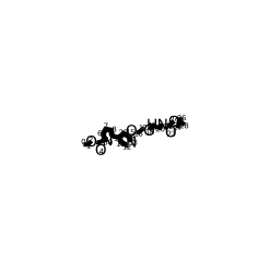 CCOC(=O)c1cccc(-c2ccnc(OCCOCCNC(=O)OC(C)(C)C)c2)n1